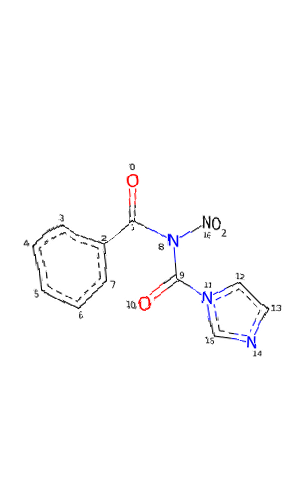 O=C(c1ccccc1)N(C(=O)n1ccnc1)[N+](=O)[O-]